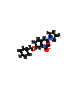 O=[N+]([O-])c1cc(OCc2ccccc2)ccc1/C=C/N1CCCC1